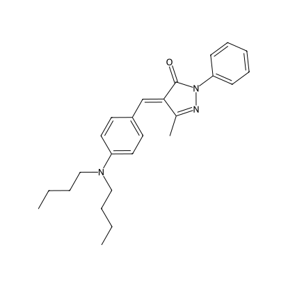 CCCCN(CCCC)c1ccc(C=C2C(=O)N(c3ccccc3)N=C2C)cc1